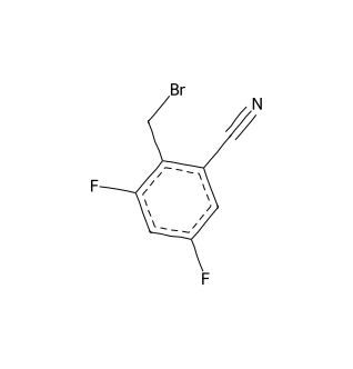 N#Cc1cc(F)cc(F)c1CBr